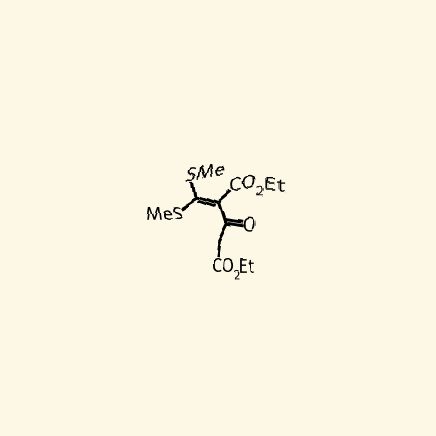 CCOC(=O)CC(=O)C(C(=O)OCC)=C(SC)SC